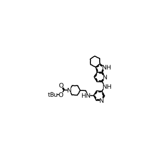 CC(C)(C)OC(=O)N1CCC(CNc2cncc(Nc3ccc4c5c([nH]c4n3)CCCC5)c2)CC1